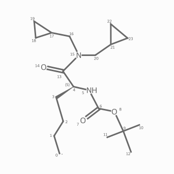 [CH2]CCC[C@H](NC(=O)OC(C)(C)C)C(=O)N(CC1CC1)CC1CC1